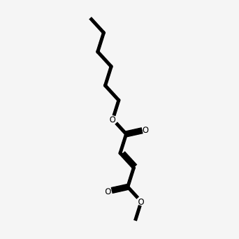 CCCCCCOC(=O)C=CC(=O)OC